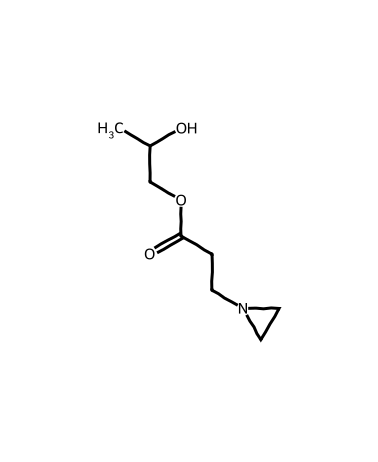 CC(O)COC(=O)CCN1CC1